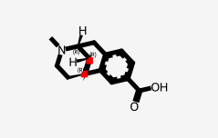 CN1CC[C@]23CCCC[C@H]2[C@H]1Cc1ccc(C(=O)O)cc13